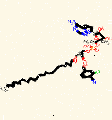 CCCCCCCCCCCCCCCCCCOC[C@H](COP(=O)(O)O[C@@H](C)[C@@]1(C)O[C@@H](c2ccc3c(N)ncnn23)[C@H](O)[C@@H]1O)OCc1ccc(C#N)c(Cl)c1